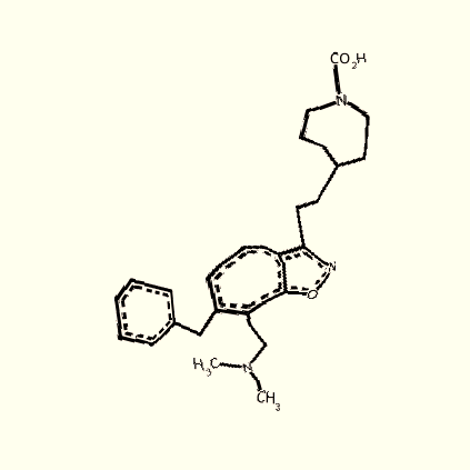 CN(C)Cc1c(Cc2ccccc2)ccc2c(CCC3CCN(C(=O)O)CC3)noc12